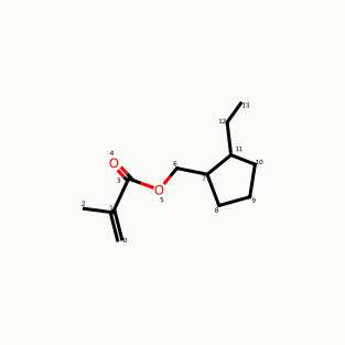 C=C(C)C(=O)OCC1CCCC1CC